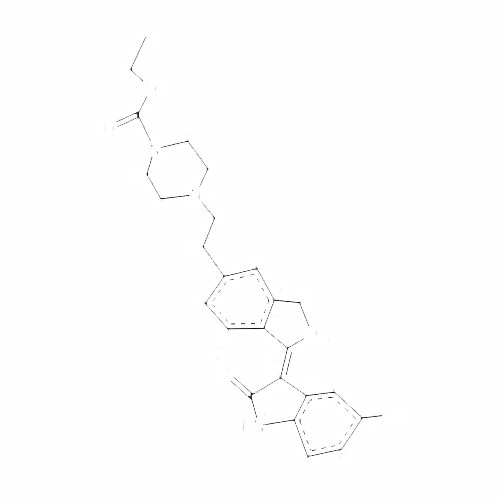 CCOC(=O)N1CCN(CCc2ccc3c(c2)CO/C3=C2/C(=O)Nc3ccc(F)cc32)CC1